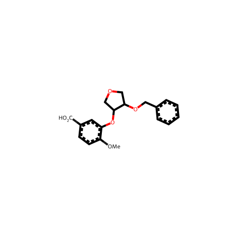 COc1ccc(C(=O)O)cc1OC1COCC1OCc1ccccc1